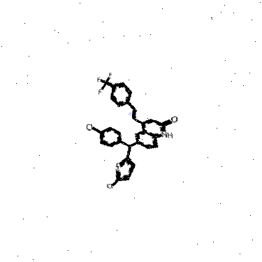 O=c1cc(/C=C/c2ccc(C(F)(F)F)cc2)c2cc(C(c3ccc(Cl)cc3)c3ccc(Cl)s3)ccc2[nH]1